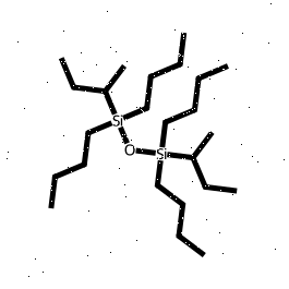 CCCC[Si](CCCC)(O[Si](CCCC)(CCCC)C(C)CC)C(C)CC